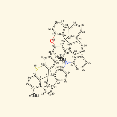 CC(C)(C)c1ccc2c(c1)C1(c3cc(C(C)(C)C)ccc3S2)c2ccccc2-c2ccc(N(c3ccccc3)c3ccc4c(c3)C(c3ccccc3)(c3ccccc3)c3ccccc3O4)cc21